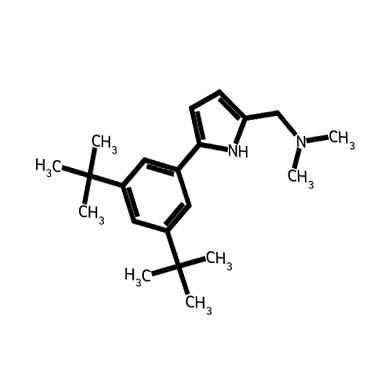 CN(C)Cc1ccc(-c2cc(C(C)(C)C)cc(C(C)(C)C)c2)[nH]1